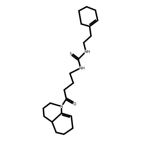 O=C(CCCNC(=S)NCCC1=CCCCC1)N1CCCC2CCCC=C21